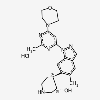 Cc1nc(N2CCOCC2)cc(-n2ncc3cc(C)c([C@@H]4CCNC[C@H]4O)cc32)n1.Cl